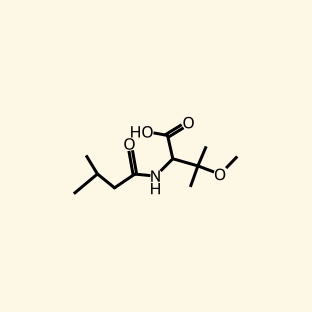 COC(C)(C)C(NC(=O)CC(C)C)C(=O)O